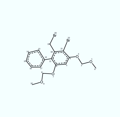 COCOc1cc(OCOC)c(-c2ccccc2)c(CBr)c1Br